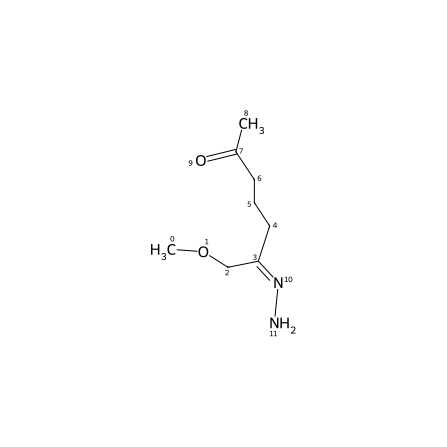 COC/C(CCCC(C)=O)=N\N